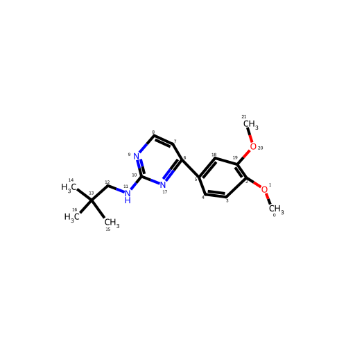 COc1ccc(-c2ccnc(NCC(C)(C)C)n2)cc1OC